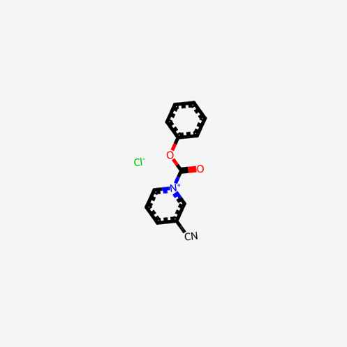 N#Cc1ccc[n+](C(=O)Oc2ccccc2)c1.[Cl-]